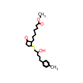 CCOC(=O)CCCCCCC1C(=O)CCC1SCC(O)CCCc1ccc(C)cc1